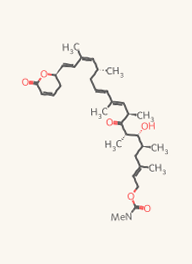 CNC(=O)OC/C=C(\C)C[C@H](C)[C@@H](O)[C@H](C)C(=O)[C@H](C)/C=C(C)/C=C/C[C@@H](C)/C=C(C)\C=C\[C@H]1CC=CC(=O)O1